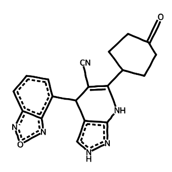 N#CC1=C(C2CCC(=O)CC2)Nc2n[nH]cc2C1c1cccc2nonc12